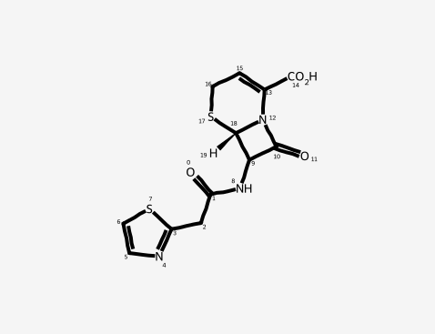 O=C(Cc1nccs1)NC1C(=O)N2C(C(=O)O)=CCS[C@@H]12